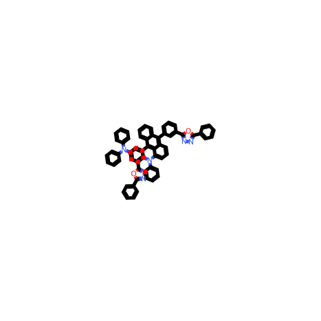 c1ccc(-c2nnc(-c3cccc(-c4c5ccccc5c(-c5cccc(-c6nnc(-c7ccccc7)o6)c5)c5c(N(c6ccccc6)c6ccc(N(c7ccccc7)c7ccccc7)cc6)cccc45)c3)o2)cc1